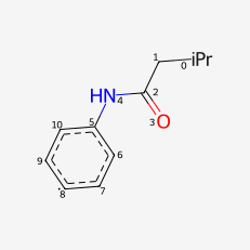 CC(C)CC(=O)Nc1cc[c]cc1